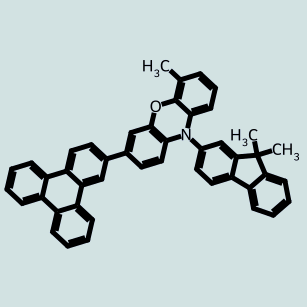 Cc1cccc2c1Oc1cc(-c3ccc4c5ccccc5c5ccccc5c4c3)ccc1N2c1ccc2c(c1)C(C)(C)c1ccccc1-2